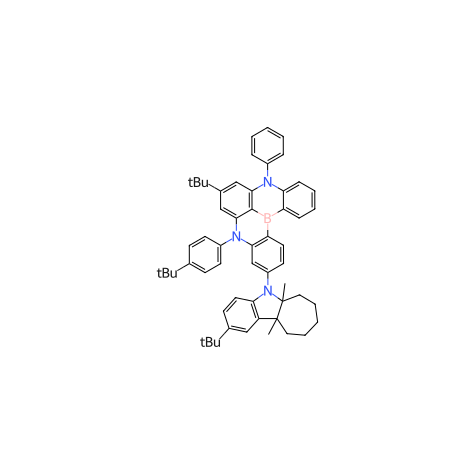 CC(C)(C)c1ccc(N2c3cc(N4c5ccc(C(C)(C)C)cc5C5(C)CCCCCC45C)ccc3B3c4ccccc4N(c4ccccc4)c4cc(C(C)(C)C)cc2c43)cc1